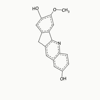 COc1cc2c(cc1O)Cc1cc3cc(O)ccc3nc1-2